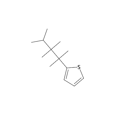 CC(C)C(C)(C)C(C)(C)c1cccs1